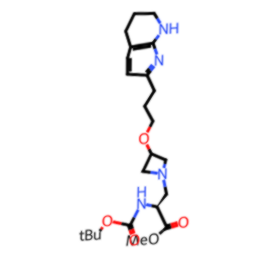 COC(=O)[C@H](CN1CC(OCCCc2ccc3c(n2)NCCC3)C1)NC(=O)OC(C)(C)C